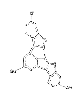 CC(C)(C)c1cc2c3c4ccc(O)cc4sc3n3c4sc5cc(O)ccc5c4c(c1)c23